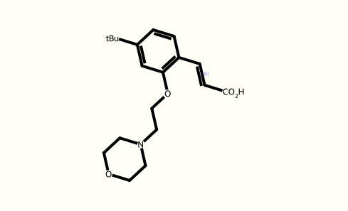 CC(C)(C)c1ccc(/C=C/C(=O)O)c(OCCN2CCOCC2)c1